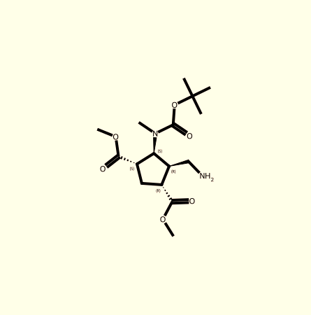 COC(=O)[C@H]1C[C@@H](C(=O)OC)[C@H](CN)[C@@H]1N(C)C(=O)OC(C)(C)C